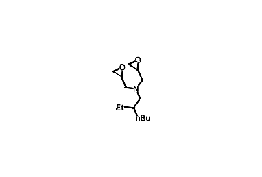 CCCCC(CC)CN(CC1CO1)CC1CO1